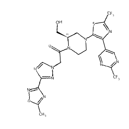 Cc1nc(-c2ncn(CC(=O)N3CCN(c4sc(C(F)(F)F)nc4-c4cnc(C(F)(F)F)nc4)C[C@@H]3CO)n2)no1